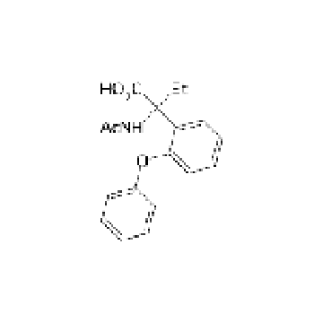 CCC(NC(C)=O)(C(=O)O)c1ccccc1Oc1ccccc1